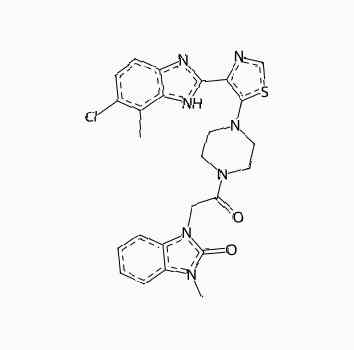 Cc1c(Cl)ccc2nc(-c3ncsc3N3CCN(C(=O)Cn4c(=O)n(C)c5ccccc54)CC3)[nH]c12